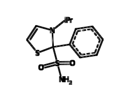 CC(C)N1C=CSC1(c1ccccc1)S(N)(=O)=O